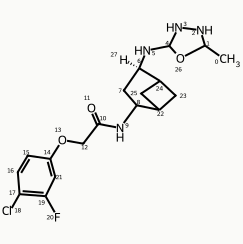 CC1NNC(N[C@@H]2CC(NC(=O)COc3ccc(Cl)c(F)c3)C3CC2C3)O1